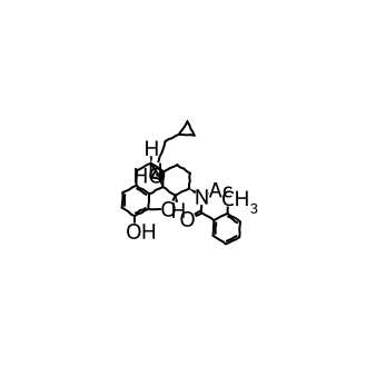 CC(=O)N(C(=O)c1ccccc1C)[C@@H]1CC[C@@]2(O)[C@H]3Cc4ccc(O)c5c4[C@@]2(CCN3CC2CC2)[C@H]1O5